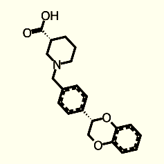 O=C(O)[C@@H]1CCCN(Cc2ccc([C@H]3COc4ccccc4O3)cc2)C1